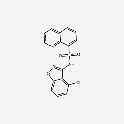 O=S(=O)(Nc1noc2cccc(Cl)c12)c1cccc2cccnc12